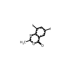 Cc1nc2c(I)cc(I)cc2c(=O)o1